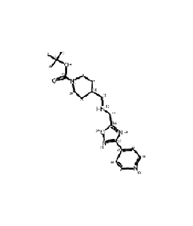 CC(C)(C)OC(=O)N1CCC(CNCc2nc(-c3ccncc3)no2)CC1